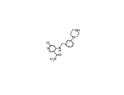 NC(=O)c1cnc(Cl)cc1NCc1cccc(N2CCNCC2)c1